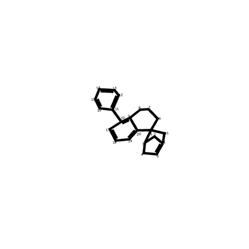 C1=C2CC(C1)C1(CCCc3c(-c4ccccc4)cccc31)C2